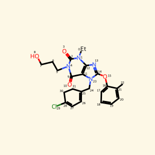 CCn1c(=O)n(CCCO)c(=O)c2c1nc(Oc1ccccc1C)n2CC1=CC=C(Cl)CC1